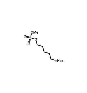 CCCCCCCCCCCOS(=O)(=O)OC